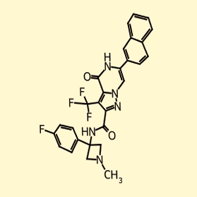 CN1CC(NC(=O)c2nn3cc(-c4ccc5ccccc5c4)[nH]c(=O)c3c2C(F)(F)F)(c2ccc(F)cc2)C1